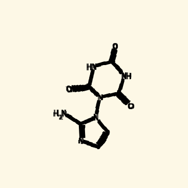 Nc1nccn1-n1c(=O)[nH]c(=O)[nH]c1=O